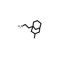 CC1CC2CCCC(CCN)(C1)C2